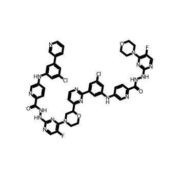 O=C(NNc1ncc(F)c(N2CCOCC2)n1)c1ccc(Nc2cc(Cl)cc(-c3nccc(C4CN(c5nc(NNC(=O)c6ccc(Nc7cc(Cl)cc(-c8cccnc8)c7)cn6)ncc5F)CCO4)n3)c2)cn1